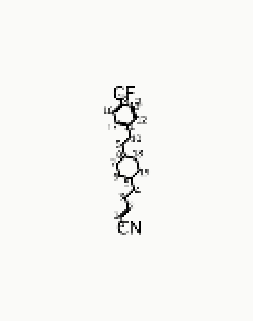 N#CC=CCCC1CCC(CCc2ccc(C(F)(F)F)cc2)CC1